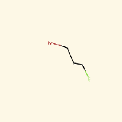 FC[CH]CBr